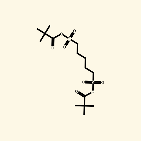 CC(C)(C)C(=O)OS(=O)(=O)CCCCCS(=O)(=O)OC(=O)C(C)(C)C